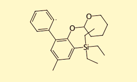 CC[Si](CC)(CC)c1cc(C)cc(-c2[c]cccc2)c1OC1CCCCO1